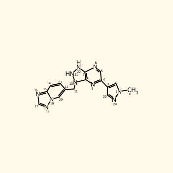 Cn1cc(-c2cnc3c(n2)N(Cc2ccc4ncnn4c2)NN3)cn1